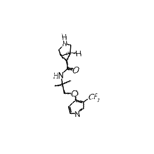 CC(C)(COc1ccncc1C(F)(F)F)NC(=O)C1C2CNC[C@@H]21